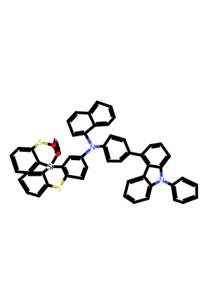 c1ccc(-n2c3ccccc3c3c(-c4ccc(N(c5ccc6c(c5)[Si]5(c7ccccc7Sc7ccccc75)c5ccccc5S6)c5cccc6ccccc56)cc4)cccc32)cc1